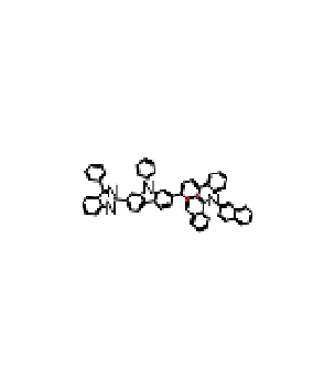 c1ccc(-c2nc(-c3ccc4c5ccc(-c6ccc(-c7ccccc7N(c7ccc8ccccc8c7)c7cccc8ccccc78)cc6)cc5n(-c5ccccc5)c4c3)nc3ccccc23)cc1